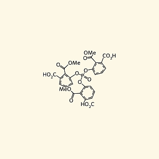 COC(=O)c1c(OP(=O)(Oc2cccc(C(=O)O)c2C(=O)OC)Oc2cccc(C(=O)O)c2C(=O)OC)cccc1C(=O)O